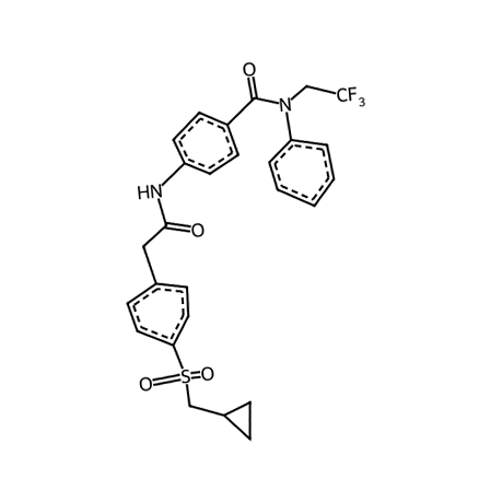 O=C(Cc1ccc(S(=O)(=O)CC2CC2)cc1)Nc1ccc(C(=O)N(CC(F)(F)F)c2ccccc2)cc1